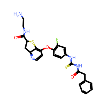 NCCNC(=O)C1Cc2nccc(Oc3ccc(NC(=S)NC(=O)Cc4ccccc4)cc3F)c2S1